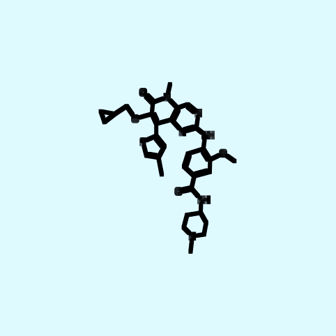 COc1cc(C(=O)NC2CCN(C)CC2)ccc1Nc1ncc2c(n1)c(-c1cc(C)cs1)c(OCC1CC1)c(=O)n2C